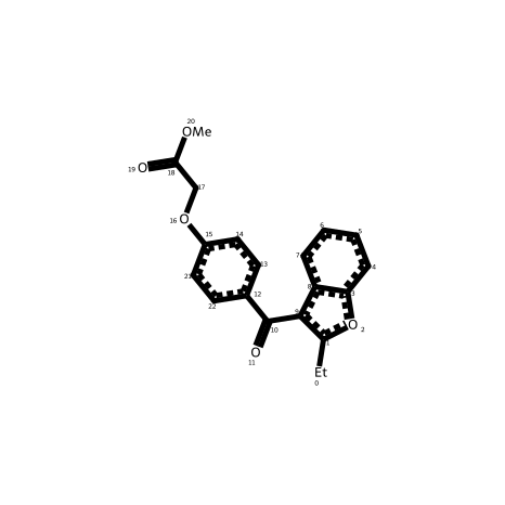 CCc1oc2ccccc2c1C(=O)c1ccc(OCC(=O)OC)cc1